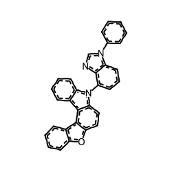 c1ccc(-n2cnc3c(-n4c5ccccc5c5c6c(ccc54)oc4ccccc46)cccc32)cc1